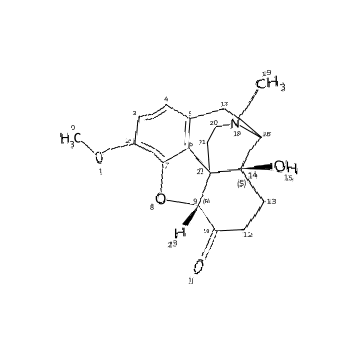 COc1ccc2c3c1O[C@H]1C(=O)CC[C@@]4(O)C(C2)N(C)CCC314